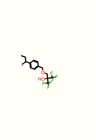 CCC(I)c1ccc(COCC(O)(C(F)(F)F)C(F)(F)F)cc1